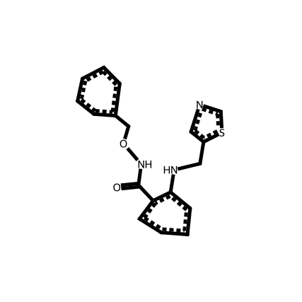 O=C(NOCc1ccccc1)c1ccccc1NCc1cncs1